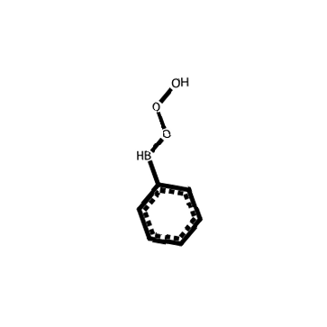 OOOBc1ccccc1